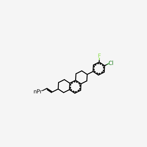 CCCC=CC1CCc2c(ccc3c2CCC(c2ccc(Cl)c(F)c2)C3)C1